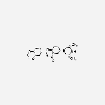 C[C@@H]1CN(c2ccc3nc(-c4ccc5c(c4)OCCO5)cc(=O)n3c2)C[C@H](C)N1